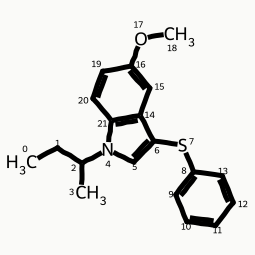 CCC(C)n1cc(Sc2ccccc2)c2cc(OC)ccc21